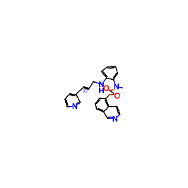 CN(c1ccccc1NC/C=C/c1cccnc1)S(=O)(=O)c1cccc2cnccc12